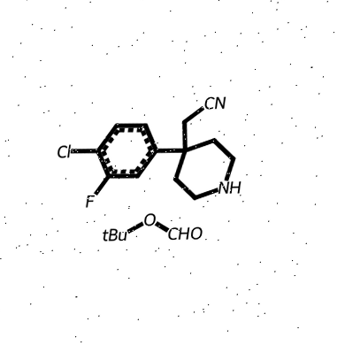 CC(C)(C)OC=O.N#CCC1(c2ccc(Cl)c(F)c2)CCNCC1